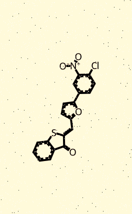 O=C1C(=Cc2ccc(-c3ccc(Cl)c([N+](=O)[O-])c3)o2)Sc2ccccc21